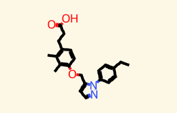 CCc1ccc(-n2nccc2COc2ccc(CCC(=O)O)c(C)c2C)cc1